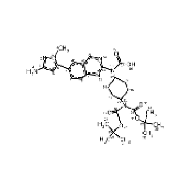 Cn1nc(N)cc1-c1ccc2nc(N(C(=O)O)[C@H]3CC[C@H](N(C(=O)OC(C)(C)C)C(=O)OC(C)(C)C)CC3)ncc2c1